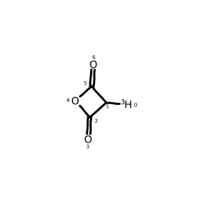 [3H]C1C(=O)OC1=O